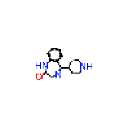 O=C1CN=C(C2CCNCC2)c2ccccc2N1